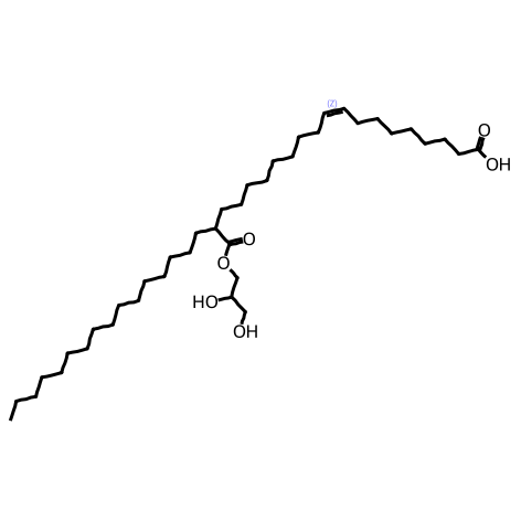 CCCCCCCCCCCCCCCCC(CCCCCCCC/C=C\CCCCCCCC(=O)O)C(=O)OCC(O)CO